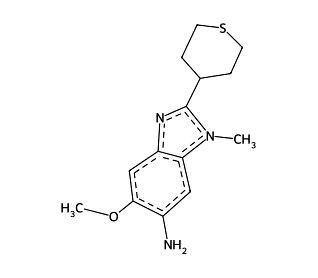 COc1cc2nc(C3CCSCC3)n(C)c2cc1N